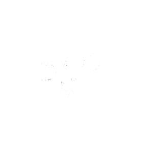 CC[C@@H]([C@@H](C)N(O)Cc1ccccc1)N(C(=O)O)C(C)(C)C